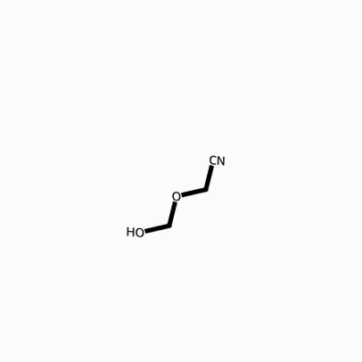 N#CCOCO